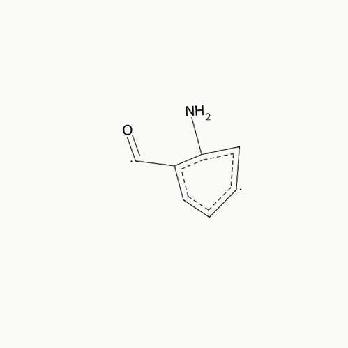 Nc1c[c]ccc1[C]=O